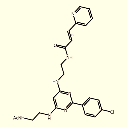 CC(=O)NCCNc1cc(NCCNC(=O)/C=C/c2ccccn2)nc(-c2ccc(Cl)cc2)n1